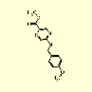 COC(=O)c1cnc(NCc2ccc(OC)cc2)cn1